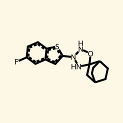 Fc1ccc2sc(N3NOC4(CC5CCC4CC5)N3)cc2c1